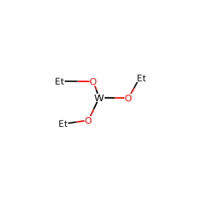 CC[O][W]([O]CC)[O]CC